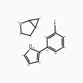 C1CC2CC2O1.Fc1cccc(-c2ccc[nH]2)c1